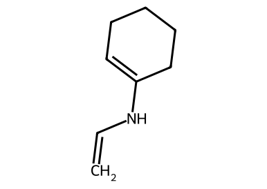 C=CNC1=CCCCC1